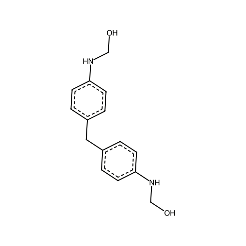 OCNc1ccc(Cc2ccc(NCO)cc2)cc1